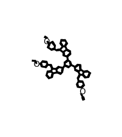 C#CCOc1ccc(/C=C2\c3ccccc3-c3ccc(-c4cc(-c5ccc6c(c5)/C(=C/c5ccc(OC=C)cc5)c5ccccc5-6)cc(-c5ccc6c(c5)/C(=C/c5ccc(OCC)cc5)c5ccccc5-6)c4)cc32)cc1